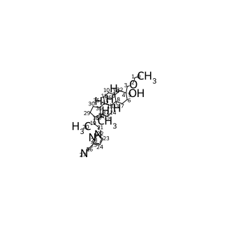 CCOC[C@@]1(O)CC[C@H]2[C@H](CC[C@@H]3[C@@H]2CC[C@]2(C)C([C@@H](C)Cn4ccc(C#N)n4)CC[C@@H]32)C1